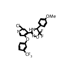 COc1ccc(C2NC(c3cc(Cl)ncc3Oc3cccc(C(F)(F)F)c3)=NOC2(F)F)cc1